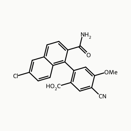 COc1cc(-c2c(C(N)=O)ccc3cc(Cl)ccc23)c(C(=O)O)cc1C#N